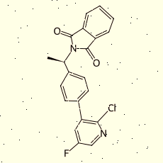 C[C@H](c1ccc(-c2cc(F)cnc2Cl)cc1)N1C(=O)c2ccccc2C1=O